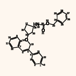 Cc1ccc(/C(=C/c2ccccc2)COC2CCC(NC(=O)OCc3ccccc3)C2)cc1